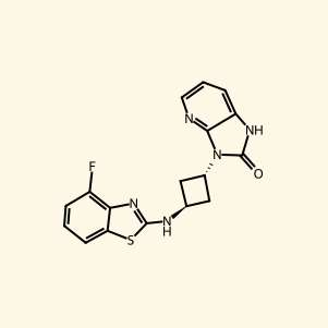 O=c1[nH]c2cccnc2n1[C@H]1C[C@H](Nc2nc3c(F)cccc3s2)C1